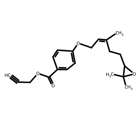 C#CCOC(=O)c1ccc(OCC=C(C)CCC2OC2(C)C)cc1